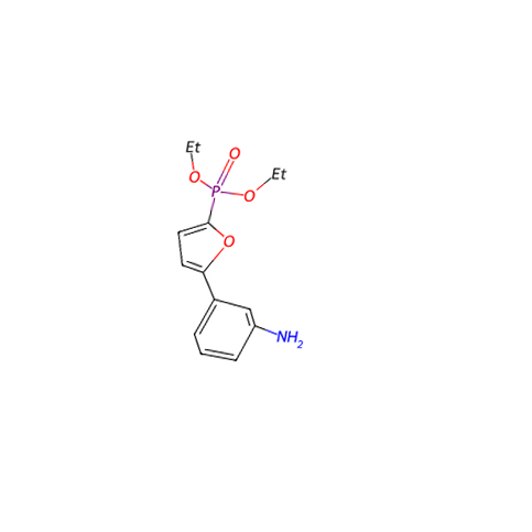 CCOP(=O)(OCC)c1ccc(-c2cccc(N)c2)o1